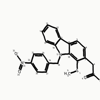 CSc1c(CC(=O)O)ccc2c3ccccc3n(Cc3ccc([N+](=O)[O-])cc3)c12